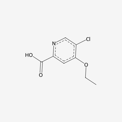 CCOc1cc(C(=O)O)ncc1Cl